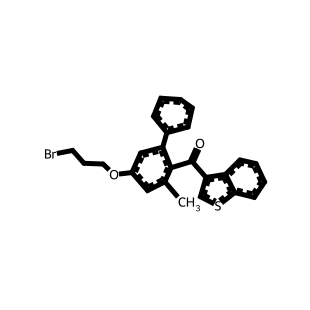 Cc1cc(OCCCBr)cc(-c2ccccc2)c1C(=O)c1csc2ccccc12